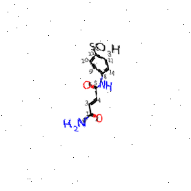 NC(=O)C=CC(=O)Nc1ccc(S(=O)(=O)O)cc1